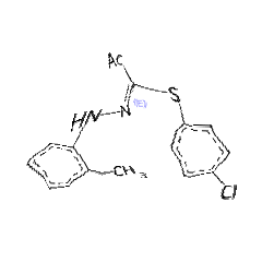 CC(=O)/C(=N\Nc1ccccc1C)Sc1ccc(Cl)cc1